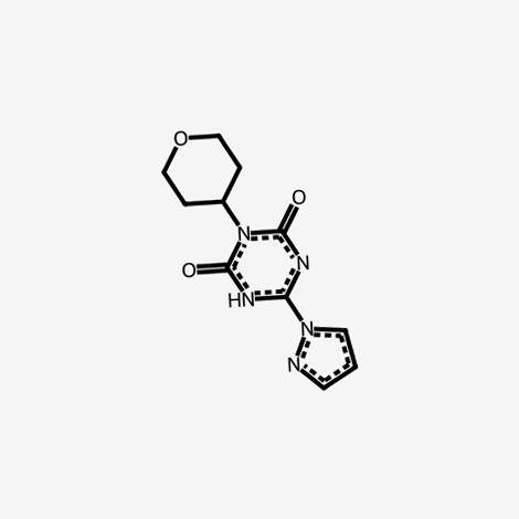 O=c1nc(-n2cccn2)[nH]c(=O)n1C1CCOCC1